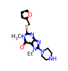 CCn1c(N2CCNCC2)nc2nc(SCc3ccco3)n(C)c(=O)c21